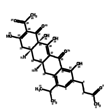 CC(=O)CCc1cc(C(C)C)c2c(c1O)C(=O)C1=C(O)[C@]3(O)C(=O)C(C(C)=O)=C(O)C[C@@H]3C[C@@H]1C2